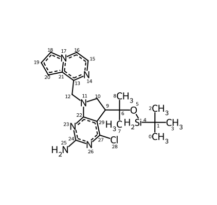 CC(C)(C)[SiH2]OC(C)(C)C1CN(Cc2nccn3cccc23)c2nc(N)nc(Cl)c21